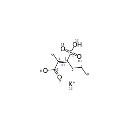 CCC/C(=C(/C)C(=O)[O-])S(=O)(=O)O.[K+]